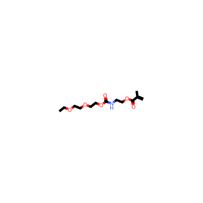 C=C(C)C(=O)OCCNC(=O)OCCOCCOCC